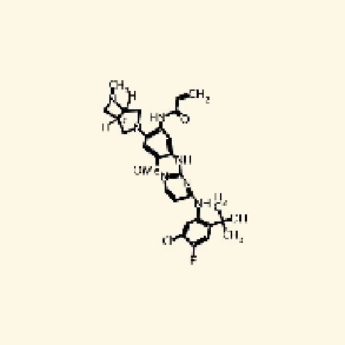 C=CC(=O)Nc1cc(Nc2nccc(Nc3cc(Cl)c(F)cc3C(C)(C)O)n2)c(OC)cc1N1C[C@@H]2CN(C)[C@@H]2C1